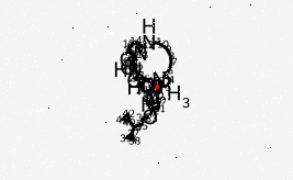 CC1(C)CCC2CCCCCCNc3cccc(n3)S(=O)(=O)NC(=O)c3ccc(-n4ccc(OCCC(C5CC5)C5CC5)n4)nc3N21